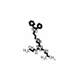 CC(C)CCNc1nc(NCCC(C)C)nc(-c2cn(CCCc3nc(-c4ccccc4)c(-c4ccccc4)o3)nn2)n1